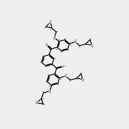 O=C(c1cccc(C(=O)c2ccc(OCC3CO3)cc2OCC2CO2)c1)c1ccc(OCC2CO2)cc1OCC1CO1